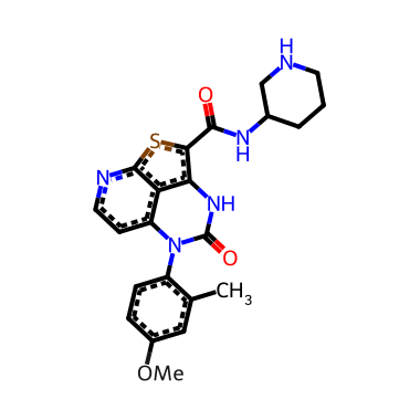 COc1ccc(N2C(=O)Nc3c(C(=O)NC4CCCNC4)sc4nccc2c34)c(C)c1